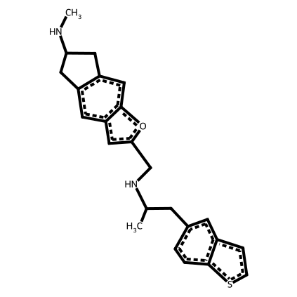 CNC1Cc2cc3cc(CNC(C)Cc4ccc5sccc5c4)oc3cc2C1